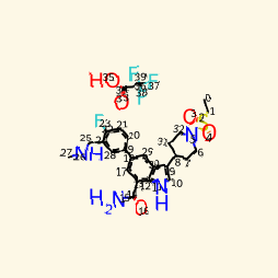 CCS(=O)(=O)N1CCC(c2c[nH]c3c(C(N)=O)cc(-c4ccc(F)c(CNC)c4)cc23)CC1.O=C(O)C(F)(F)F